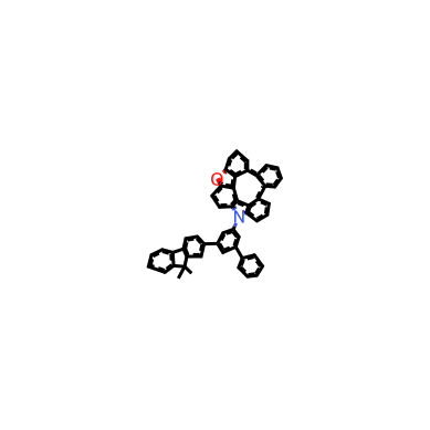 CC1(C)c2ccccc2-c2ccc(-c3cc(-c4ccccc4)cc(-n4c5cccc6c7ccccc7c7cccc8oc9ccc4c(c9c87)c65)c3)cc21